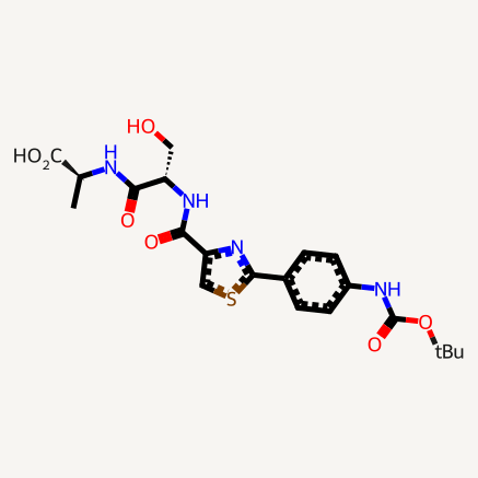 C[C@H](NC(=O)[C@H](CO)NC(=O)c1csc(-c2ccc(NC(=O)OC(C)(C)C)cc2)n1)C(=O)O